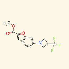 COC(=O)c1cc2ccc(N3CC(C(F)(F)F)C3)cc2o1